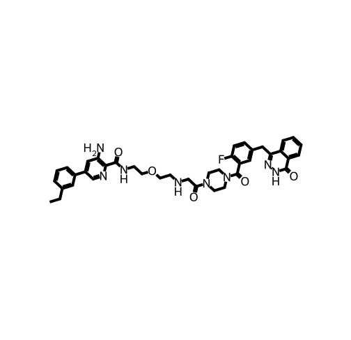 CCc1cccc(-c2cnc(C(=O)NCCOCCNCC(=O)N3CCN(C(=O)c4cc(Cc5n[nH]c(=O)c6ccccc56)ccc4F)CC3)c(N)c2)c1